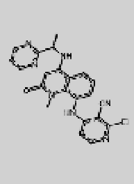 C[C@@H](Nc1cc(=O)n(C)c2c(Nc3ccnc(Cl)c3C#N)cccc12)c1ncccn1